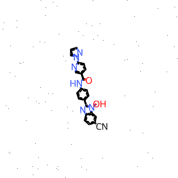 N#Cc1ccc2nc(-c3ccc(NC(=O)c4ccc(-n5cccn5)nc4)cc3)n(O)c2c1